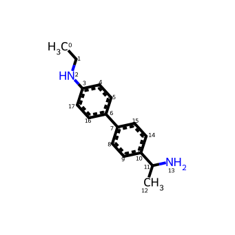 CCNc1ccc(-c2ccc(C(C)N)cc2)cc1